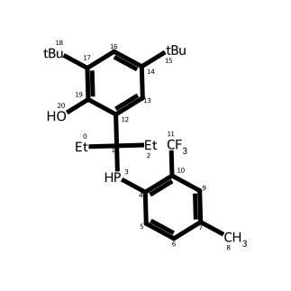 CCC(CC)(Pc1ccc(C)cc1C(F)(F)F)c1cc(C(C)(C)C)cc(C(C)(C)C)c1O